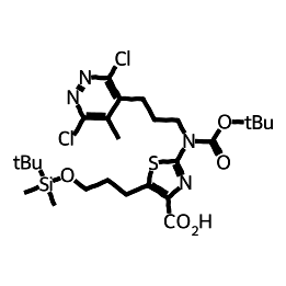 Cc1c(Cl)nnc(Cl)c1CCCN(C(=O)OC(C)(C)C)c1nc(C(=O)O)c(CCCO[Si](C)(C)C(C)(C)C)s1